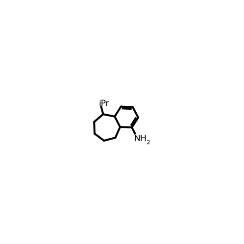 CC(C)C1CCCCC2C(N)=CC=CC21